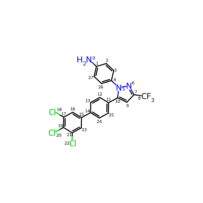 Nc1ccc(-n2nc(C(F)(F)F)cc2-c2ccc(-c3cc(Cl)c(Cl)c(Cl)c3)cc2)cc1